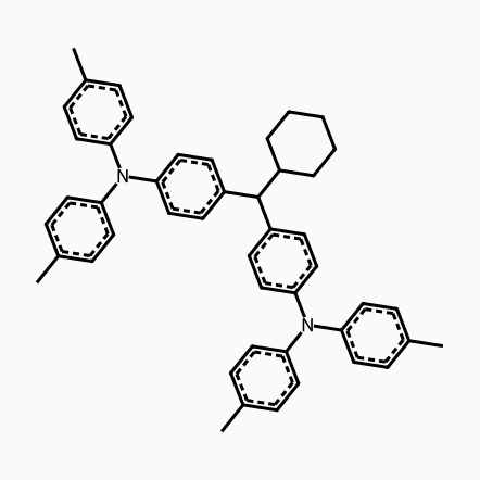 Cc1ccc(N(c2ccc(C)cc2)c2ccc(C(c3ccc(N(c4ccc(C)cc4)c4ccc(C)cc4)cc3)C3CCCCC3)cc2)cc1